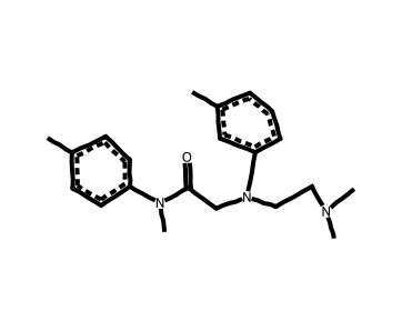 Cc1ccc(N(C)C(=O)CN(CCN(C)C)c2cccc(C)c2)cc1